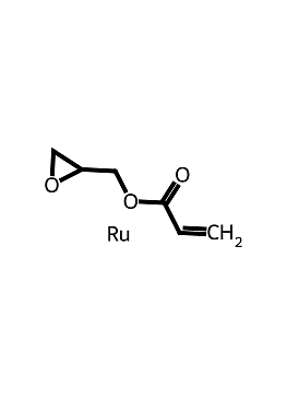 C=CC(=O)OCC1CO1.[Ru]